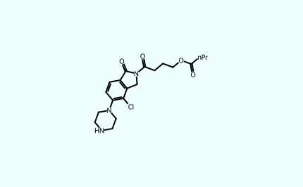 CCCC(=O)OCCCC(=O)N1Cc2c(ccc(N3CCNCC3)c2Cl)C1=O